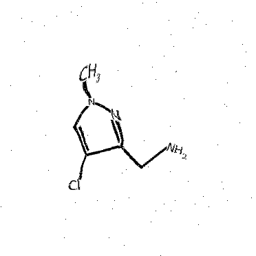 Cn1cc(Cl)c(CN)n1